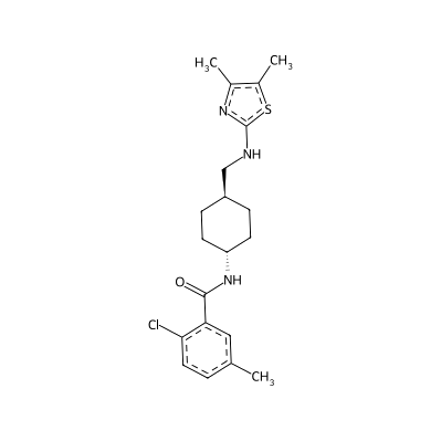 Cc1ccc(Cl)c(C(=O)N[C@H]2CC[C@H](CNc3nc(C)c(C)s3)CC2)c1